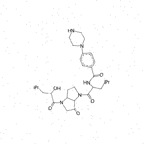 CC(C)CC(O)C(=O)N1CC(=O)C2C1CCN2C(=O)C(CC(C)C)NC(=O)c1ccc(N2CCNCC2)cc1